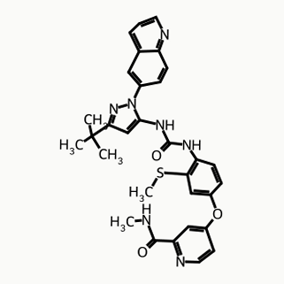 CNC(=O)c1cc(Oc2ccc(NC(=O)Nc3cc(C(C)(C)C)nn3-c3ccc4ncccc4c3)c(SC)c2)ccn1